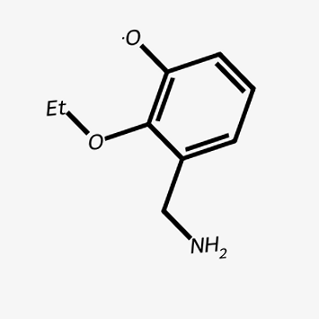 CCOc1c([O])cccc1CN